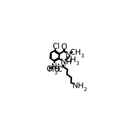 C[C@H](CCCCN)Nc1c([N+](=O)[O-])ccc(Cl)c1C(=O)N(C)C